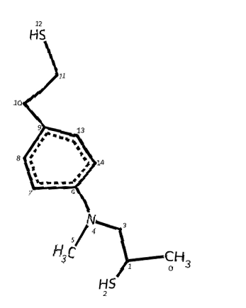 CC(S)CN(C)c1ccc(CCS)cc1